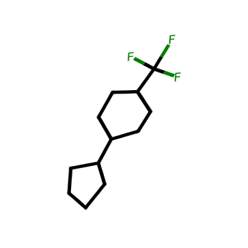 FC(F)(F)C1CCC(C2CCCC2)CC1